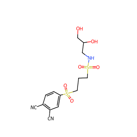 N#Cc1ccc(S(=O)(=O)CCCS(=O)(=O)NCC(O)CO)cc1C#N